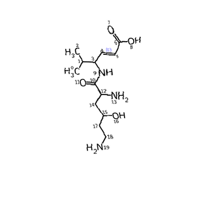 CC(C)C(/C=C/C(=O)O)NC(=O)C(N)CC(O)CCN